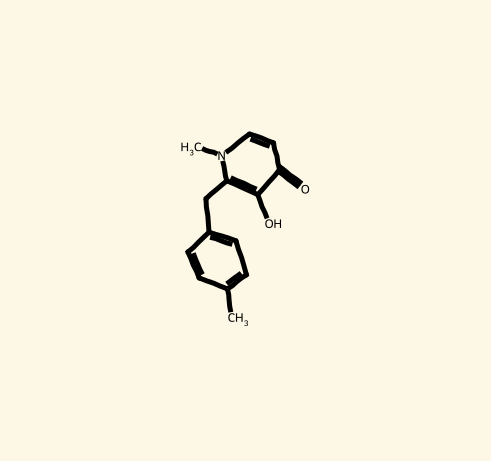 Cc1ccc(Cc2c(O)c(=O)ccn2C)cc1